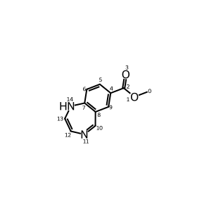 COC(=O)c1ccc2c(c1)C=NC=CN2